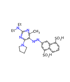 CCN(CC)c1nc(C)c(/N=N/c2cc(S(=O)(=O)O)c3cccc(S(=O)(=O)O)c3c2)c(N2CCCC2)n1